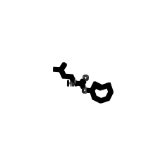 CC(C)CCNC(=O)OC1/C=C/CCCCC1